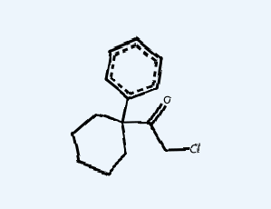 O=C(CCl)C1(c2ccccc2)CCCCC1